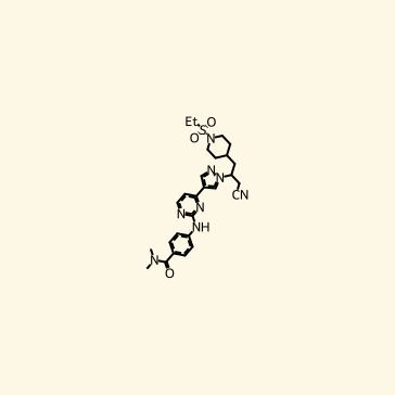 CCS(=O)(=O)N1CCC(CC(CC#N)n2cc(-c3ccnc(Nc4ccc(C(=O)N(C)C)cc4)n3)cn2)CC1